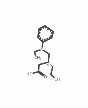 CCC[C@H](CC(=O)O)CN(CC)c1ccccc1